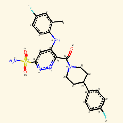 Cc1cc(F)ccc1Nc1cc(S(N)(=O)=O)nnc1C(=O)N1CCC(c2ccc(F)cc2)CC1